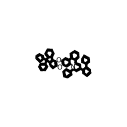 c1ccc(-c2cc(-c3ccccc3-c3ccccc3)cc(-c3ccccc3-c3ccc4c(c3)Oc3c(ccc5c3-c3ccccc3C5(c3ccccc3)c3ccccc3)O4)n2)cc1